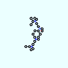 c1ccc(-c2ccc(N(c3ccc(-c4ccc(N(c5ccc(-c6ccccc6)cc5)c5cccc6cc(-c7cccc(-c8cc(-c9ccccc9)cc(N(c9ccc(-c%10ccc(N(c%11cc(-c%12ccccc%12)cc(-c%12ccccc%12)c%11)c%11cccc%12ccccc%11%12)cc%10)cc9)c9cccc%10ccccc9%10)c8)c7)ccc56)cc4)cc3)c3cccc4ccccc34)cc2)cc1